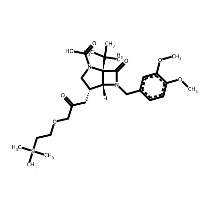 COc1ccc(CN2C(=O)[C@]3(C(C)(C)C)[C@H]2[C@H](CC(=O)COCC[Si](C)(C)C)CN3C(=O)O)cc1OC